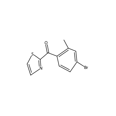 Cc1cc(Br)ccc1C(=O)c1nccs1